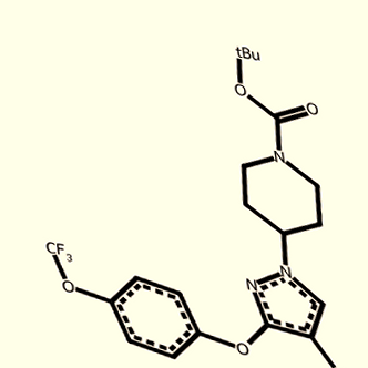 CC(C)(C)OC(=O)N1CCC(n2cc(Br)c(Oc3ccc(OC(F)(F)F)cc3)n2)CC1